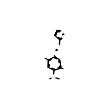 CCN(CC)c1cc(N)c(N=Nc2ccon2)cc1OC